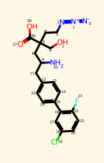 [N-]=[N+]=NCCC(CO)(CC(N)Cc1ccc(-c2cc(Cl)ccc2F)cc1)C(=O)O